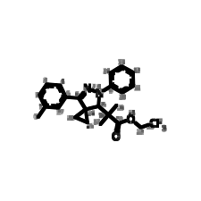 Cc1cccc(C2=NN(c3ccccc3)C(C(C)(C)C(=O)OCC(F)(F)F)C23CC3)c1